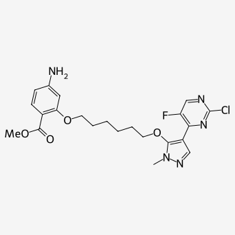 COC(=O)c1ccc(N)cc1OCCCCCCOc1c(-c2nc(Cl)ncc2F)cnn1C